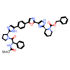 COC(=O)N[C@@H](C(=O)N1CCC[C@H]1c1ncc(-c2ccc(-c3cnc(-c4c[nH]c([C@@H]5C=CCCN5C(=O)OCc5ccccc5)n4)o3)cc2)[nH]1)c1ccccc1